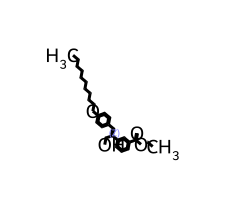 CCCCCCCCCCOc1ccc(/C=C(\CO)c2cccc(C(=O)OCC)c2)cc1